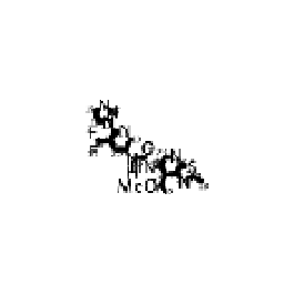 CO[C@H](C)c1c(NC(=O)Nc2cnc(-n3ccnn3)c(C(F)F)c2)cnc2sc(C)nc12